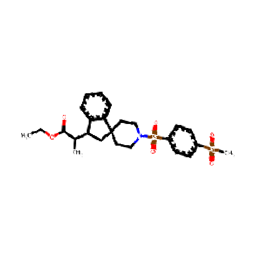 CCOC(=O)C(C)C1CC2(CCN(S(=O)(=O)c3ccc(S(C)(=O)=O)cc3)CC2)c2ccccc21